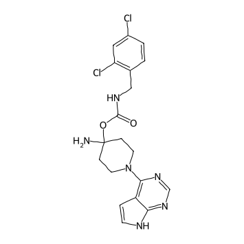 NC1(OC(=O)NCc2ccc(Cl)cc2Cl)CCN(c2ncnc3[nH]ccc23)CC1